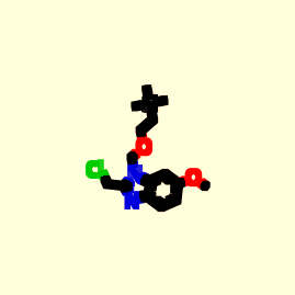 COc1ccc2nc(CCl)n(COCC[Si](C)(C)C)c2c1